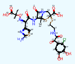 CC(C)(O/N=C(\C(=O)NC1C(=O)N2CC(SCCNC(=O)C(=O)c3cc(O)c(O)cc3Cl)(C(=O)O)S[C@H]12)c1csc(N)n1)C(=O)O